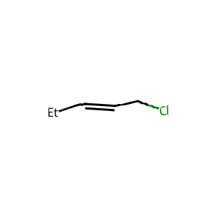 CCC=CCCl